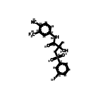 CC(O)(CS(=O)(=O)c1cccc(F)c1)C(=O)Nc1ccc(C#N)c(C(F)(F)F)c1